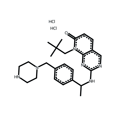 CC(Nc1ncc2ccc(=O)n(CC(C)(C)C)c2n1)c1ccc(CN2CCNCC2)cc1.Cl.Cl